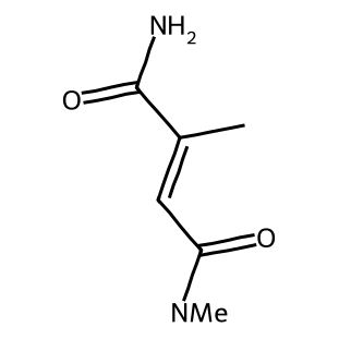 CNC(=O)/C=C(\C)C(N)=O